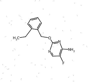 CCc1ccccc1COc1ncc(F)c(N)n1